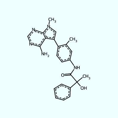 Cc1cc(NC(=O)C(C)(O)c2ccccc2)ccc1-c1cn(C)c2ncnc(N)c12